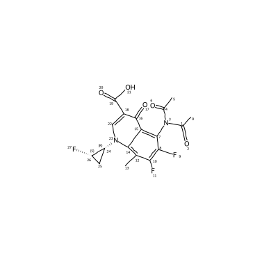 CC(=O)N(C(C)=O)c1c(F)c(F)c(C)c2c1c(=O)c(C(=O)O)cn2[C@@H]1C[C@@H]1F